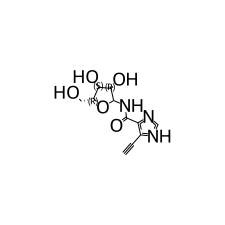 C#Cc1[nH]cnc1C(=O)NC1O[C@H](CO)[C@@H](O)[C@H]1O